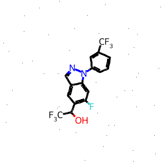 OC(c1cc2cnn(-c3cccc(C(F)(F)F)c3)c2cc1F)C(F)(F)F